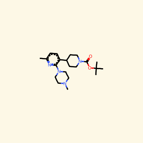 Cc1ccc(C2CCN(C(=O)OC(C)(C)C)CC2)c(N2CCN(C)CC2)n1